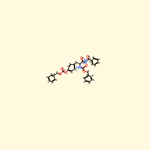 O=C(N[C@@H](Cc1ccc(OC(=O)OCc2ccccc2)cc1)C(=O)NC(=O)c1ccccc1)OCc1ccccc1